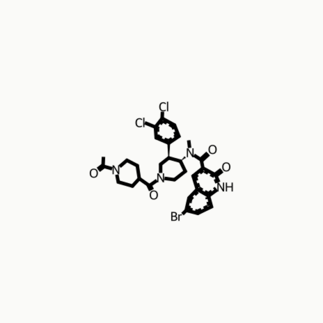 CC(=O)N1CCC(C(=O)N2CC[C@@H](N(C)C(=O)c3cc4cc(Br)ccc4[nH]c3=O)[C@H](c3ccc(Cl)c(Cl)c3)C2)CC1